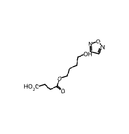 O=C(O)CCC(=O)OCCCCO.c1cnon1